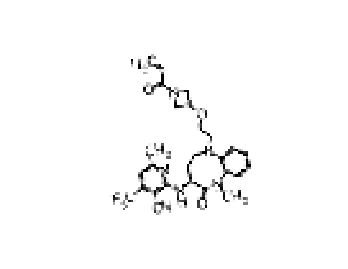 C=CC(=O)N1CC(OCCN2CCC(Nc3nc(C)cc(C(F)(F)F)c3C#N)C(=O)N(C)c3ccccc32)C1